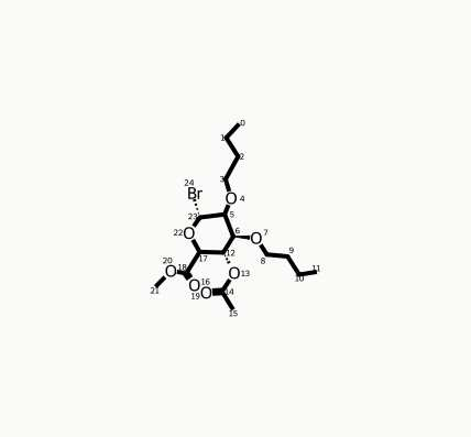 CCCCOC1[C@@H](OCCCC)[C@H](OC(C)=O)C(C(=O)OC)O[C@@H]1Br